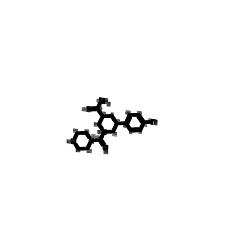 CCc1ccc(C2CC(C(N)=S)CN(C(=O)N3CCOCC3)C2)cc1